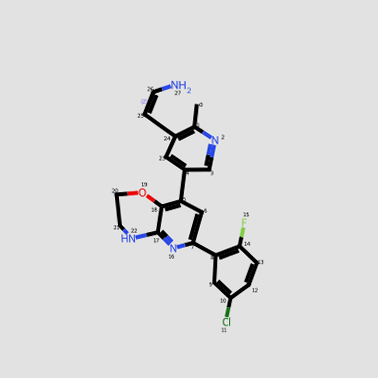 Cc1ncc(-c2cc(-c3cc(Cl)ccc3F)nc3c2OCCN3)cc1/C=C\N